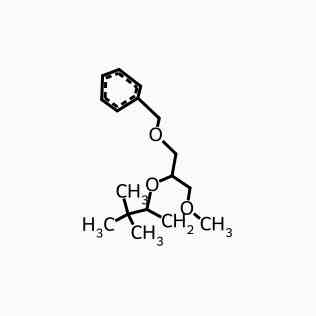 [CH2]C(OC(COC)COCc1ccccc1)C(C)(C)C